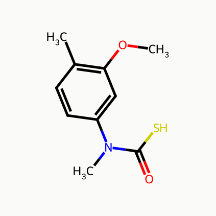 COc1cc(N(C)C(=O)S)ccc1C